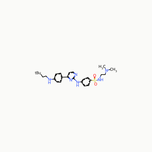 CN(C)CCNS(=O)(=O)c1ccc(Nc2nccc(-c3ccc(NCCC(C)(C)C)cc3)n2)cc1